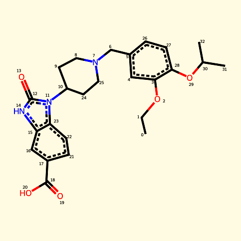 CCOc1cc(CN2CCC(n3c(=O)[nH]c4cc(C(=O)O)ccc43)CC2)ccc1OC(C)C